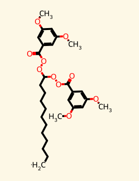 [CH2]CCCCCCCCCC[C](OOC(=O)c1cc(OC)cc(OC)c1)OOC(=O)c1cc(OC)cc(OC)c1